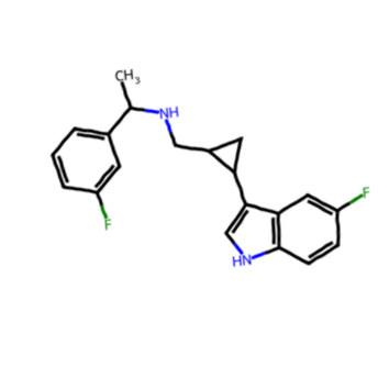 CC(NCC1CC1c1c[nH]c2ccc(F)cc12)c1cccc(F)c1